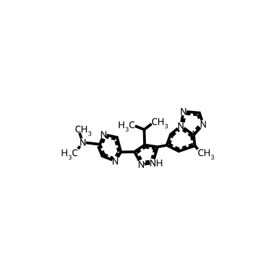 Cc1cc(-c2[nH]nc(-c3cnc(N(C)C)cn3)c2C(C)C)cn2ncnc12